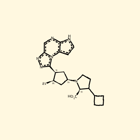 CC[C@@H]1C[C@H](N2CCC(C3CCC3)[C@H]2C(=O)O)C[C@@H]1c1nnc2cnc3[nH]ccc3n12